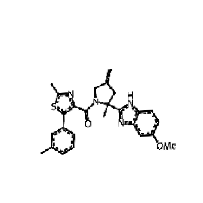 C=C1CN(C(=O)c2nc(C)sc2-c2cccc(C)c2)C(C)(c2nc3cc(OC)ccc3[nH]2)C1